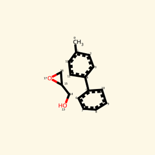 Cc1ccc(-c2ccccc2)cc1.OCC1CO1